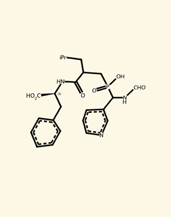 CC(C)CC(CP(=O)(O)C(NC=O)c1cccnc1)C(=O)N[C@@H](Cc1ccccc1)C(=O)O